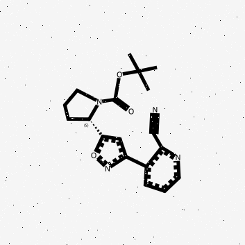 CC(C)(C)OC(=O)N1CCC[C@H]1c1cc(-c2cccnc2C#N)no1